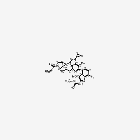 CC(C)(C)OC(=O)Nc1sc2c(F)ccc(-c3nc(CCC#N)c4c(C5C6CN(C(=O)OC(C)(C)C)CC65)nn(C5CC5)c4c3F)c2c1C#N